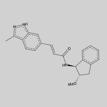 CO[C@H]1Cc2ccccc2[C@@H]1NC(=O)/C=C/c1ccc2c(C)n[nH]c2c1